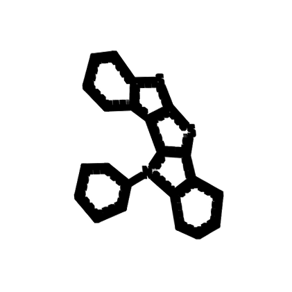 c1ccc(-n2c3ccccc3c3sc4sc5ccccc5c4c32)cc1